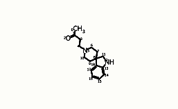 CC(=O)CCN1CCC2(CC1)CNc1ccccc12